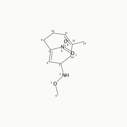 CONC1/C=C(\[N+](=O)[O-])CC/C=C(/C)C1